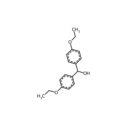 CCOc1ccc(C(O)c2ccc(OCC)cc2)cc1